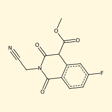 COC(=O)C1C(=O)N(CC#N)C(=O)c2ccc(F)cc21